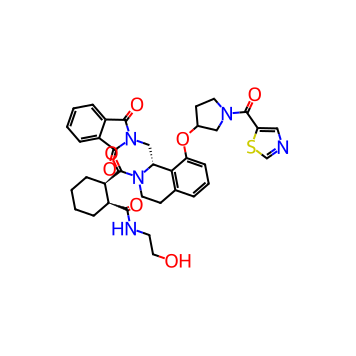 O=C(NCCO)[C@H]1CCCC[C@H]1C(=O)N1CCc2cccc(OC3CCN(C(=O)c4cncs4)C3)c2[C@H]1CN1C(=O)c2ccccc2C1=O